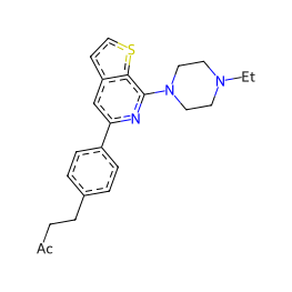 CCN1CCN(c2nc(-c3ccc(CCC(C)=O)cc3)cc3ccsc23)CC1